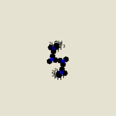 [2H]c1c([2H])c([2H])c(-n2c3ccccc3c3cc(-c4ccc5c(c4)c4cc(-c6ccc7c(c6)c6cc(-c8ccc9c(c8)c8ccccc8n9-c8c([2H])c([2H])c([2H])c(C)c8[2H])ccc6n7-c6ccccc6)ccc4n5-c4ccccc4)ccc32)c([2H])c1[2H]